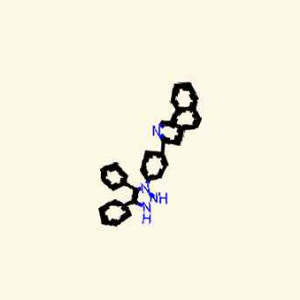 c1ccc(C2=C(c3ccccc3)N(c3ccc(-c4cc5ccc6ccccc6c5cn4)cc3)NN2)cc1